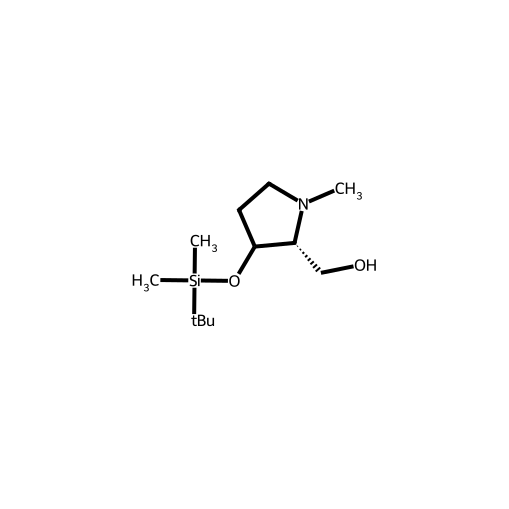 CN1CCC(O[Si](C)(C)C(C)(C)C)[C@H]1CO